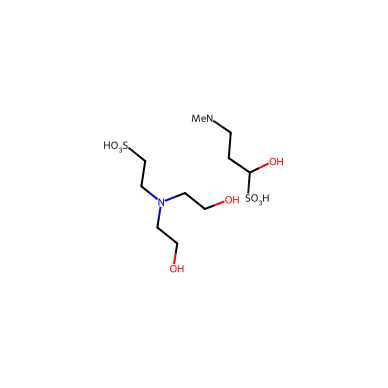 CNCCC(O)S(=O)(=O)O.O=S(=O)(O)CCN(CCO)CCO